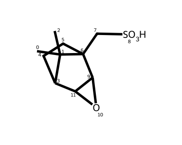 CC1(C)C2CCC1(CS(=O)(=O)O)C1OC21